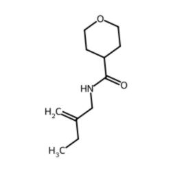 C=C(CC)CNC(=O)C1CCOCC1